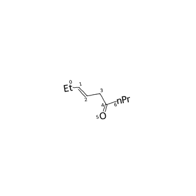 CCC=CCC(=O)CCC